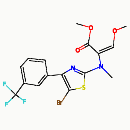 COC=C(C(=O)OC)N(C)c1nc(-c2cccc(C(F)(F)F)c2)c(Br)s1